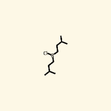 CC(C)CCB(Cl)CCC(C)C